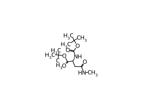 CNC(=O)CC(NC(=O)OC(C)(C)C)C(=O)OC(C)(C)C